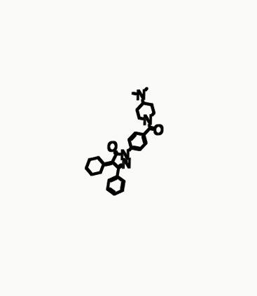 CN(C)C1CCN(C(=O)c2ccc(N3N=C(c4ccccc4)C(=C4CCCCC4)C3=O)cc2)CC1